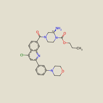 CCCOC(=O)N1CCN(C(=O)c2ccc3c(Cl)cc(-c4cccc(N5CCOCC5)c4)nc3c2)C[C@H]1N